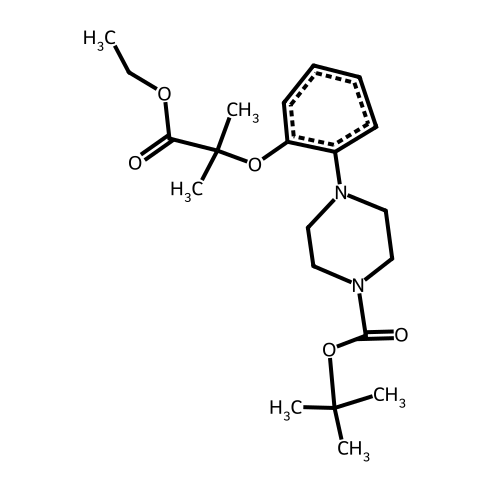 CCOC(=O)C(C)(C)Oc1ccccc1N1CCN(C(=O)OC(C)(C)C)CC1